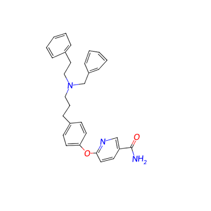 NC(=O)c1ccc(Oc2ccc(CCCN(CCc3ccccc3)Cc3ccccc3)cc2)nc1